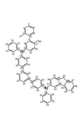 Cc1ccccc1-c1cc(N(c2ccccc2)c2ccc(-c3cccc(-c4ccc(N(c5ccccc5)c5ccc6c(c5)-c5ccccc5C6)cc4)c3)cc2)ccc1C